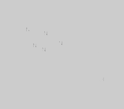 OCCC1CC1C1CCN(c2nc3ncccn3n2)CC1